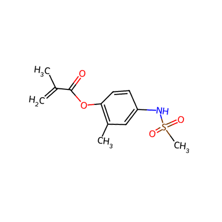 C=C(C)C(=O)Oc1ccc(NS(C)(=O)=O)cc1C